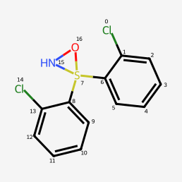 Clc1ccccc1S1(c2ccccc2Cl)NO1